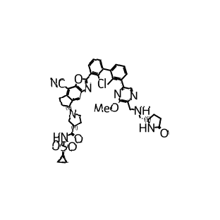 COc1nc(-c2cccc(-c3cccc(-c4nc5cc6c(c(C#N)c5o4)CC[C@H]6N4CC[C@@H](C(=O)NS(=O)(=O)C5CC5)C4)c3Cl)c2C)cnc1CNC[C@@H]1CCC(=O)N1